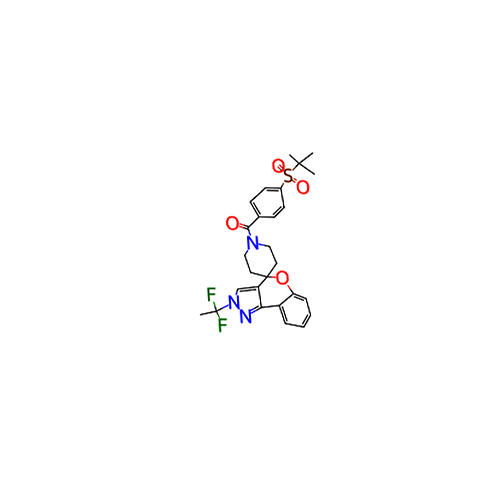 CC(F)(F)n1cc2c(n1)-c1ccccc1OC21CCN(C(=O)c2ccc(S(=O)(=O)C(C)(C)C)cc2)CC1